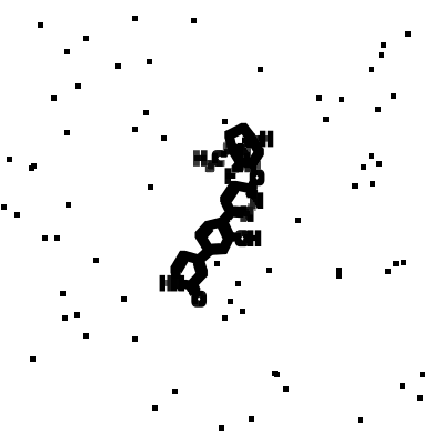 C[C@@]12CC[C@@H](C[C@H](Oc3ccc(-c4ccc(-c5cc[nH]c(=O)c5)cc4O)nn3)[C@H]1F)N2